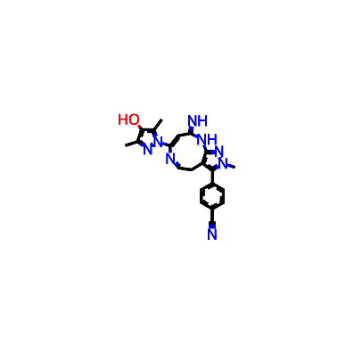 Cc1nn(C2=C/C(=N)Nc3nn(C)c(-c4ccc(C#N)cc4)c3C/C=N\2)c(C)c1O